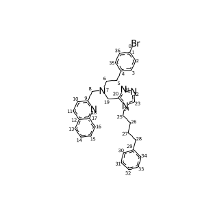 Brc1ccc(CCN(Cc2ccc3ccccc3n2)Cc2nncn2CCCCc2ccccc2)cc1